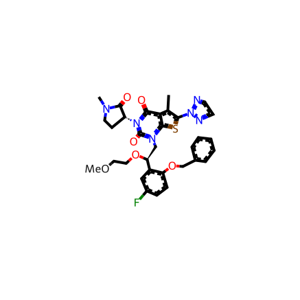 COCCO[C@@H](Cn1c(=O)n([C@@H]2CCN(C)C2=O)c(=O)c2c(C)c(-n3nccn3)sc21)c1cc(F)ccc1OCc1ccccc1